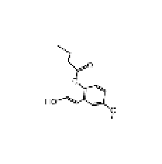 CCCC(=O)Oc1ccc(OC)cc1C=CO